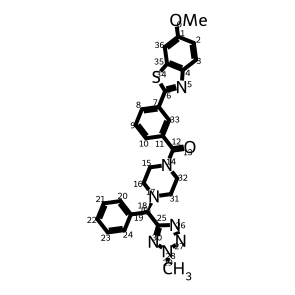 COc1ccc2nc(-c3cccc(C(=O)N4CCN([C@H](c5ccccc5)c5nnn(C)n5)CC4)c3)sc2c1